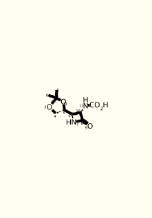 CC1(C)OC[C@@H]([C@H]2NC(=O)[C@H]2NC(=O)O)O1